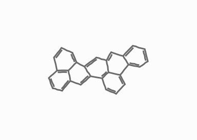 c1ccc2c(c1)cc1cc3c(cc4cccc5cccc3c54)c3cccc2c13